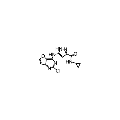 O=C(NC1CC1)c1cc(Nc2nc(Cl)nc3ccoc23)[nH]n1